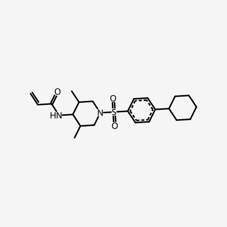 C=CC(=O)NC1C(C)CN(S(=O)(=O)c2ccc(C3CCCCC3)cc2)CC1C